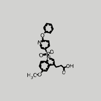 COc1ccc2c(c1)c(CCC(=O)O)cn2S(=O)(=O)c1ccc(Oc2ccccc2)nc1